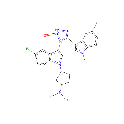 CCN(CC)C1CCC(n2cc(-n3c(-c4cn(C)c5ccc(F)cc45)n[nH]c3=O)c3cc(F)ccc32)C1